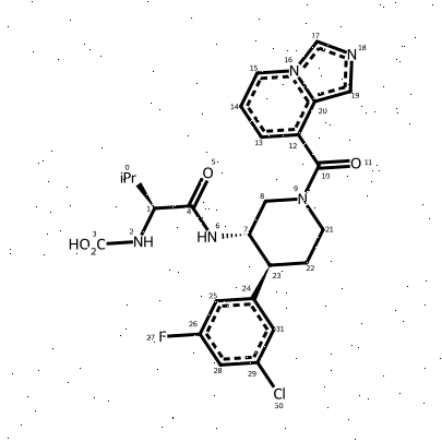 CC(C)[C@H](NC(=O)O)C(=O)N[C@@H]1CN(C(=O)c2cccn3cncc23)CC[C@H]1c1cc(F)cc(Cl)c1